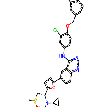 CN(C1CC1)[C@H](C[S+](C)[O-])c1ccc(-c2ccc3ncnc(Nc4ccc(OCc5cccc(F)c5)c(Cl)c4)c3c2)o1